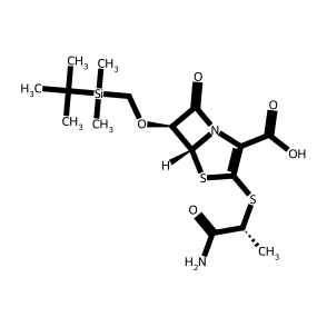 C[C@@H](SC1=C(C(=O)O)N2C(=O)[C@H](OC[Si](C)(C)C(C)(C)C)[C@H]2S1)C(N)=O